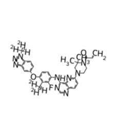 [2H]C([2H])([2H])c1c(Oc2ccc3c(c2)nnn3C([2H])([2H])[2H])ccc(Nc2ncnc3ccc(N4CCN(C(=O)C=C)C(C)(C)C4)nc23)c1F